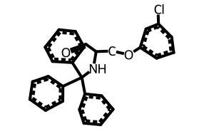 O=CC(COc1cccc(Cl)c1)NC(c1ccccc1)(c1ccccc1)c1ccccc1